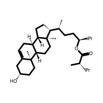 CC(C)[C@H](CC[C@@H](C)[C@H]1CC[C@H]2[C@@H]3CC=C4C[C@@H](O)CC[C@]4(C)[C@H]3CC[C@]12C)OC(=O)[C@@H](C)C(C)C